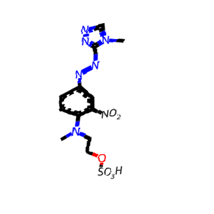 CN(CCOS(=O)(=O)O)c1ccc(N=Nc2nncn2C)cc1[N+](=O)[O-]